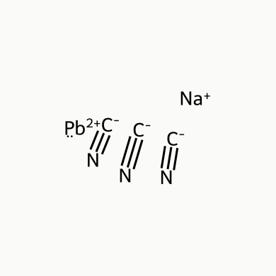 [C-]#N.[C-]#N.[C-]#N.[Na+].[Pb+2]